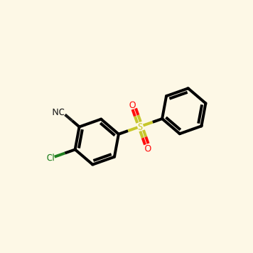 N#Cc1cc(S(=O)(=O)c2ccccc2)ccc1Cl